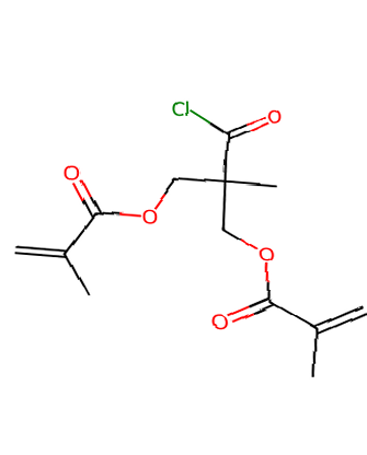 C=C(C)C(=O)OCC(C)(COC(=O)C(=C)C)C(=O)Cl